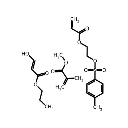 C=C(C)C(=O)OC.C=CC(=O)OCCOS(=O)(=O)c1ccc(C)cc1.CCCOC(=O)C=CO